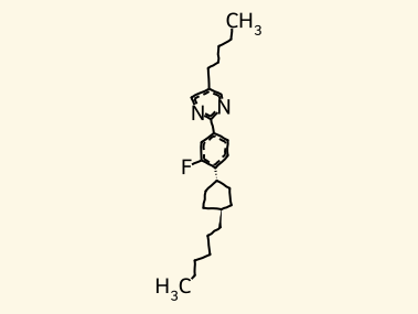 CCCCCC[C@H]1CC[C@H](c2ccc(-c3ncc(CCCCC)cn3)cc2F)CC1